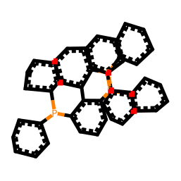 c1ccc(P(c2ccccc2)c2ccccc2-c2c(P(c3ccccc3)c3ccccc3)cccc2P(c2ccccc2)c2ccccc2)cc1